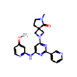 CN1CCC2(CN(c3cc(Nc4cc(OC(F)(F)F)ccn4)nc(-c4cccnc4)n3)C2)C1=O